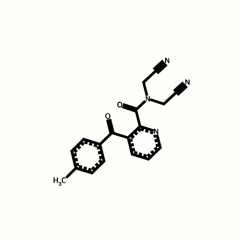 Cc1ccc(C(=O)c2cccnc2C(=O)N(CC#N)CC#N)cc1